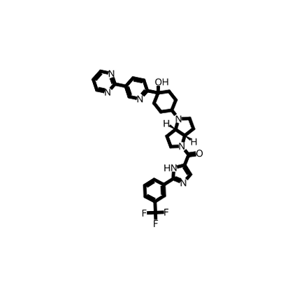 O=C(c1cnc(-c2cccc(C(F)(F)F)c2)[nH]1)N1CC[C@H]2[C@@H]1CCN2C1CCC(O)(c2ccc(-c3ncccn3)cn2)CC1